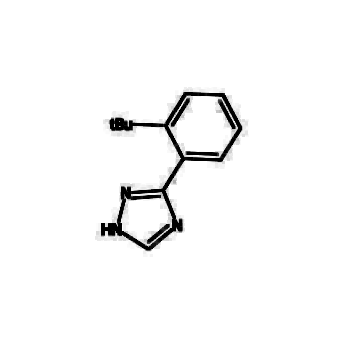 CC(C)(C)c1ccccc1-c1nc[nH]n1